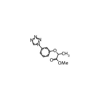 COC(=O)C(C)Oc1cccc(-n2cnnn2)c1